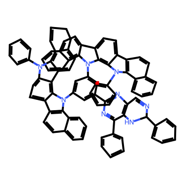 C1=Cc2c(ccc3c4c(ccc5c6ccc7ccccc7c6n(-c6cc(-c7nc8c(c(-c9ccccc9)n7)NC(c7ccccc7)N=C8)cc(-n7c8c9ccccc9ccc8c8ccc9c%10ccc%11ccccc%11c%10n(-c%10ccccc%10)c9c87)c6)c54)n(-c4ccccc4)c23)CC1